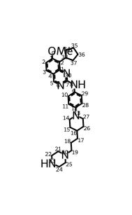 COc1ccc2cnc(Nc3ccc(N4CCC(CCCN5CCNCC5)CC4)cc3)nc2c1C1CCCC1